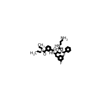 CCCN(CCC)C(=O)c1cccc(C(=O)NC(Cc2cc(F)cc(F)c2)C(CNCc2ccccc2)OC(=O)NCCCN)c1